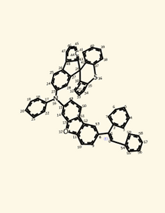 C(=C(/c1ccccc1)c1ccc2oc3cc(N(c4ccccc4)c4ccc5c(c4)C4(c6ccccc6Sc6ccccc64)c4ccccc4-5)ccc3c2c1)/c1ccccc1